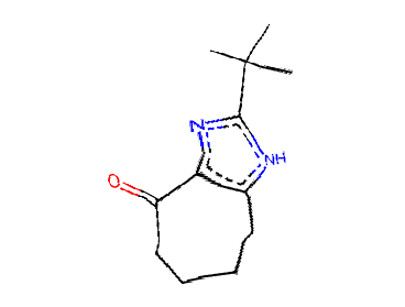 CC(C)(C)c1nc2c([nH]1)CCCCC2=O